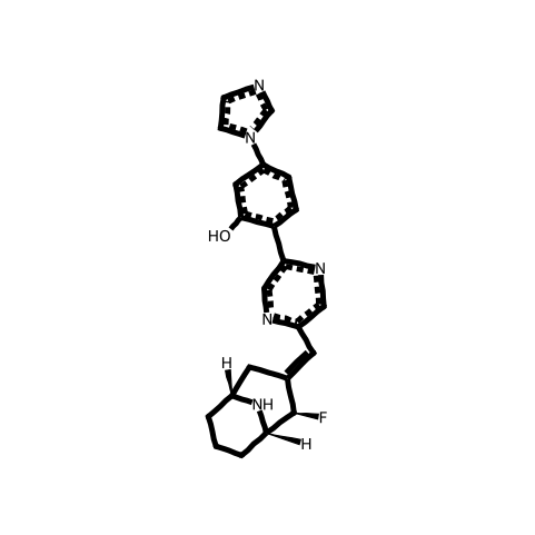 Oc1cc(-n2ccnc2)ccc1-c1cnc(/C=C2\C[C@H]3CCC[C@H](N3)[C@@H]2F)cn1